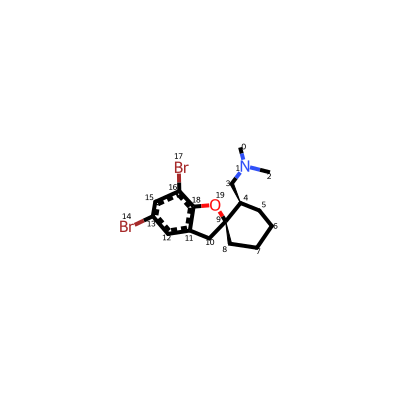 CN(C)C[C@H]1CCCC[C@]12Cc1cc(Br)cc(Br)c1O2